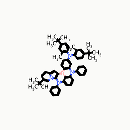 Cc1cc(C(C)(C)C)ccc1N(c1ccc2c(c1)N(c1ccccc1)c1cccc3c1B2c1cc2ccc(C(C)(C)C)cn2c1N3c1ccccc1)c1ccc(C(C)(C)C)cc1C